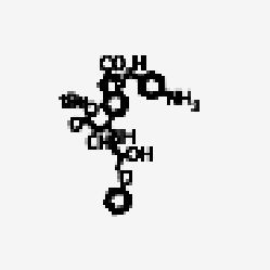 CC(C(=O)OC(C)(C)C)C(NCC(O)COc1ccccc1)c1ccc2c(c1)cc(C(=O)O)n2Cc1ccc(N)cc1